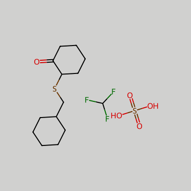 FC(F)F.O=C1CCCCC1SCC1CCCCC1.O=S(=O)(O)O